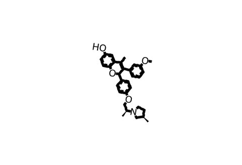 COc1cccc(C2=C(C)c3cc(O)ccc3OC2c2ccc(OC[C@H](C)N3CC[C@@H](C)C3)cc2)c1